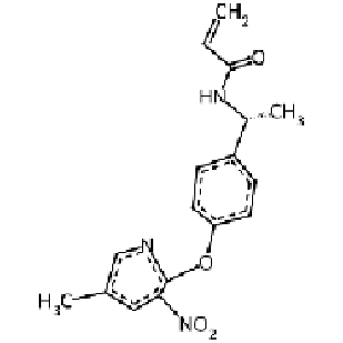 C=CC(=O)N[C@H](C)c1ccc(Oc2ncc(C)cc2[N+](=O)[O-])cc1